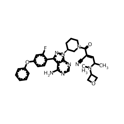 CC(C=C(C#N)C(=O)N1CCC[C@H](n2nc(-c3ccc(Oc4ccccc4)cc3F)c3c(N)ncnc32)C1)N(C)C1COC1